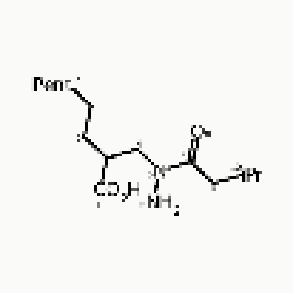 CCCC(C)CCC(CN(N)C(=O)CC(C)C)C(=O)O